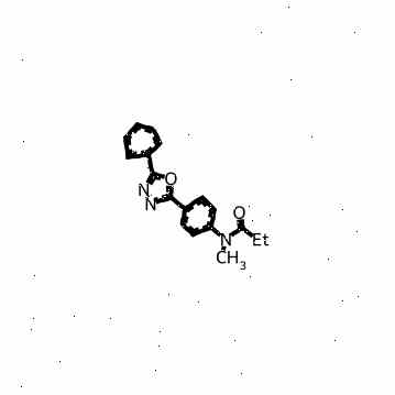 CCC(=O)N(C)c1ccc(-c2nnc(-c3ccccc3)o2)cc1